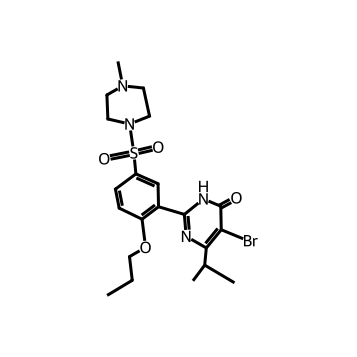 CCCOc1ccc(S(=O)(=O)N2CCN(C)CC2)cc1-c1nc(C(C)C)c(Br)c(=O)[nH]1